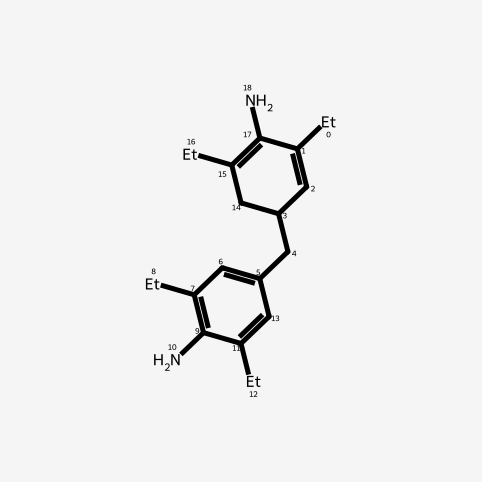 CCC1=CC(Cc2cc(CC)c(N)c(CC)c2)CC(CC)=C1N